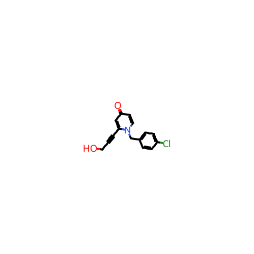 O=c1ccn(Cc2ccc(Cl)cc2)c(C#CCO)c1